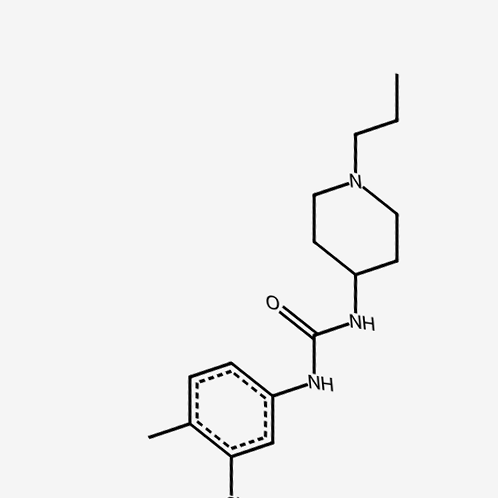 CCCN1CCC(NC(=O)Nc2ccc(C)c(Cl)c2)CC1